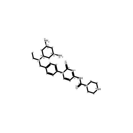 CCN(Cc1ccc(-n2ccc(NC(=O)N3CCNCC3)nc2=O)cc1)[C@@H]1C[C@H](N)C[C@H](N)C1